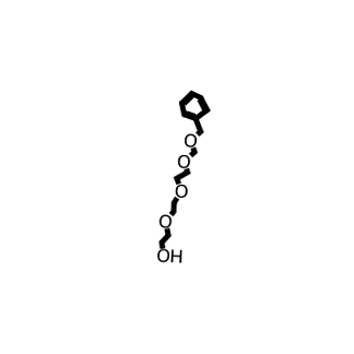 OCCOCCOCCOCOCc1ccccc1